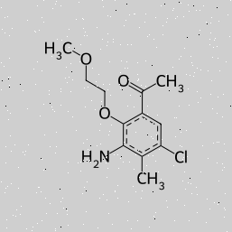 COCCOc1c(C(C)=O)cc(Cl)c(C)c1N